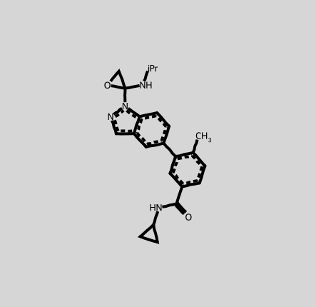 Cc1ccc(C(=O)NC2CC2)cc1-c1ccc2c(cnn2C2(NC(C)C)CO2)c1